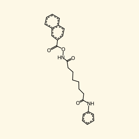 O=C(CCCCCCC(=O)Nc1ccccc1)NOC(=O)c1ccc2ccccc2c1